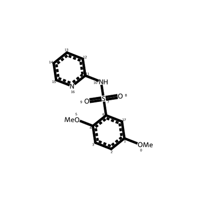 COc1ccc(OC)c(S(=O)(=O)Nc2ccccn2)c1